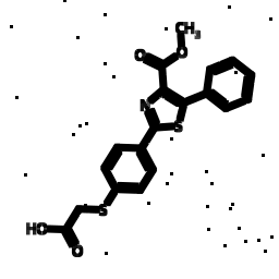 COC(=O)c1nc(-c2ccc(SCC(=O)O)cc2)sc1-c1ccccc1